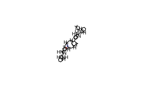 CC1C[C@@H]2/C=C(/c3ccc4[nH]c([C@@H]5C[C@@H]6CCCC[C@@H]6N5)nc4c3)[C@@H](CC[C@@H]3C=C[C@H](CC2)C(c2ccc4[nH]c([C@@H]5C[C@@H]6CCCC[C@@H]6N5C(=O)OC(C)(C)C)nc4c2)C2CC23C)C[C@@H]1C